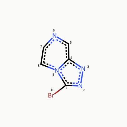 Brc1nnc2cnccn12